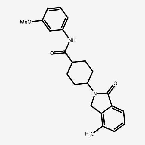 COc1cccc(NC(=O)C2CCC(N3Cc4c(C)cccc4C3=O)CC2)c1